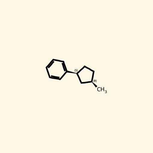 C[C@@H]1CC[C@H](c2ccccc2)C1